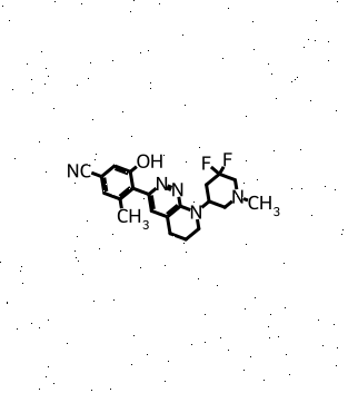 Cc1cc(C#N)cc(O)c1-c1cc2c(nn1)N(C1CN(C)CC(F)(F)C1)CCC2